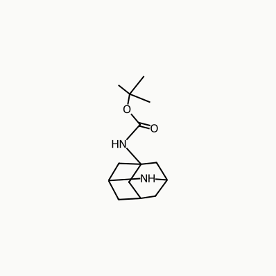 CC(C)(C)OC(=O)NC12CC3CC(C1)NC(C3)C2